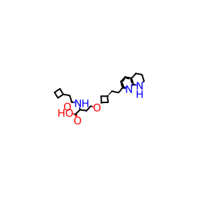 O=C(CC1CCC1)NC(CCO[C@H]1C[C@H](CCc2ccc3c(n2)NCCC3)C1)C(=O)O